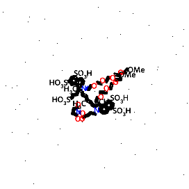 COCCOCCOCCOCCOCC[N+]1=C(/C=C/C(C)=C/C=C2/N(CCCC(=O)ON3C(=O)CCC3=O)c3ccc4c(S(=O)(=O)O)cc(S(=O)(=O)O)cc4c3C2(C)CCOCCOCCOCCOC)C(C)(CCCS(=O)(=O)O)c2c1ccc1c(S(=O)(=O)O)cc(S(=O)(=O)O)cc21